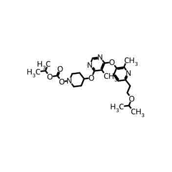 Cc1nc(CCOC(C)C)ccc1Oc1ncnc(OC2CCN(OC(=O)OC(C)C)CC2)c1C